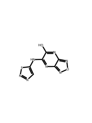 Oc1nc2nonc2nc1Nc1cnns1